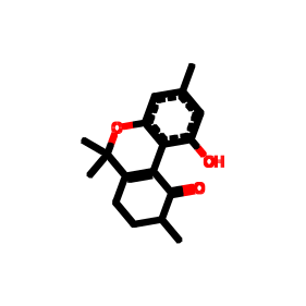 Cc1cc(O)c2c(c1)OC(C)(C)C1=C2C(=O)C(C)CC1